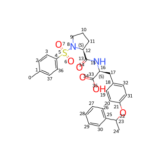 Cc1ccc(S(=O)(=O)N2CCC[C@H]2C(=O)N[C@@H](Cc2ccc(OC(C)c3ccccc3)cc2)C(=O)O)cc1